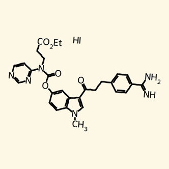 CCOC(=O)CCN(C(=O)Oc1ccc2c(c1)c(C(=O)CCc1ccc(C(=N)N)cc1)cn2C)c1ccncn1.I